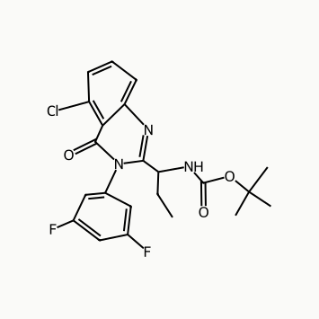 CCC(NC(=O)OC(C)(C)C)c1nc2cccc(Cl)c2c(=O)n1-c1cc(F)cc(F)c1